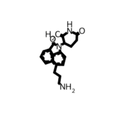 C=C1NC(=O)CCC1N1C(=O)c2cccc3c(CCCN)ccc1c23